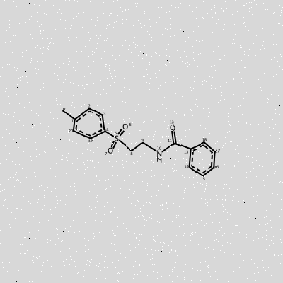 Cc1ccc(S(=O)(=O)CCNC(=O)c2ccccc2)cc1